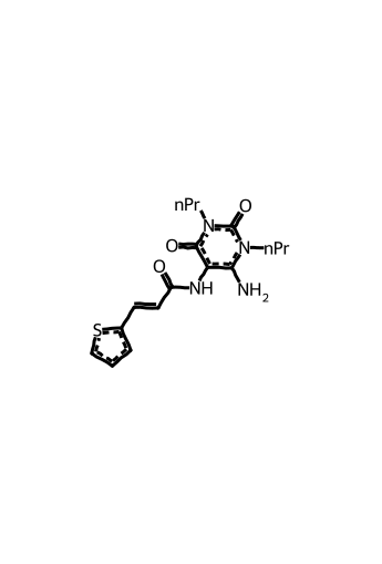 CCCn1c(N)c(NC(=O)C=Cc2cccs2)c(=O)n(CCC)c1=O